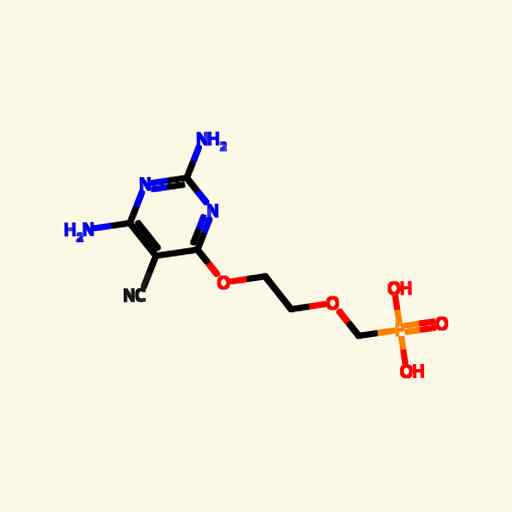 N#Cc1c(N)nc(N)nc1OCCOCP(=O)(O)O